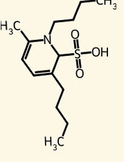 CCCCC1=CC=C(C)N(CCCC)C1S(=O)(=O)O